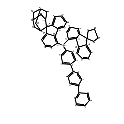 c1ccc(-c2ccc(-c3ccc(N(c4cccc5c4-c4ccccc4C54CCCC4)c4cccc5c4-c4ccccc4C54C5CC6CC(C5)CC4C6)cc3)cc2)cc1